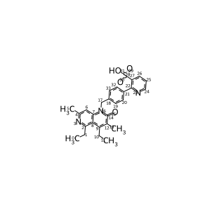 CCc1nc(C)cc2c1c(CC)c(C)c(=O)n2Cc1ccc(-c2ncccc2S(=O)(=O)O)cc1